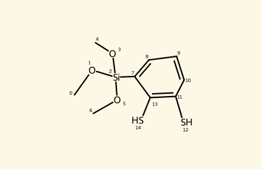 CO[Si](OC)(OC)c1cccc(S)c1S